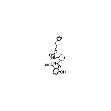 N#CC(NC(=O)C1CCCCC1NC(=O)OCCCc1cccs1)c1cccc(O)c1